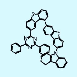 C1=Cc2c(c3ccccc3n2-c2ccc3sc4cc(-c5cccc6sc7ccc(-c8nc(-c9ccccc9)nc(-c9ccccc9)n8)cc7c56)ccc4c3c2)CC1